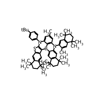 Cc1cc2c3c(c1)N(c1ccc(C(C)(C)C)cc1)c1sc4cc5c(cc4c1B3c1cc3c(cc1N2c1cc2c(cc1C)C(C)(C)CCC2(C)C)C(C)(C)CCC3(C)C)C(C)(C)CCC5(C)C